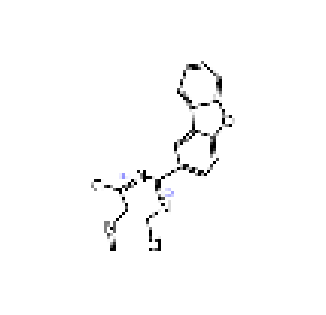 C=NC/C(Cl)=N\C(=N/CCl)c1ccc2oc3ccccc3c2c1